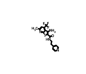 Cc1cc(C(F)(F)F)c2c(N)c(C(=O)NCCc3ccncc3)sc2n1